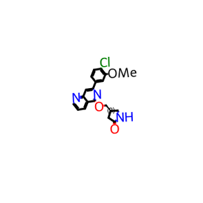 COc1cc(-c2cc3ncccc3c(OC[C@H]3CNC(=O)C3)n2)ccc1Cl